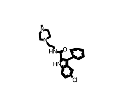 CN1CCN(CCNC(=O)c2[nH]c3ccc(Cl)cc3c2-c2ccccc2)CC1